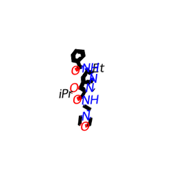 CCc1nc2c(cc1NC(=O)c1ccccc1)c(OC(C)C)c(C(=O)NCCN1CCOCC1)n2C